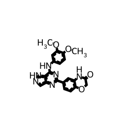 COc1ccc(Nc2nc(-c3ccc4c(c3)NC(=O)CO4)nc3cn[nH]c23)cc1OC